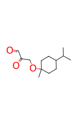 CC(C)C1CCC(C)(OCC(=O)C=O)CC1